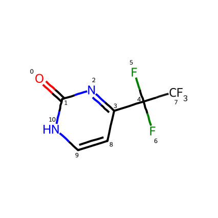 O=c1nc(C(F)(F)C(F)(F)F)cc[nH]1